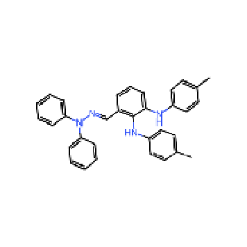 Cc1ccc(Nc2cccc(C=NN(c3ccccc3)c3ccccc3)c2Nc2ccc(C)cc2)cc1